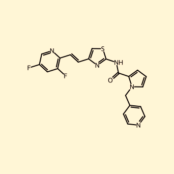 O=C(Nc1nc(/C=C/c2ncc(F)cc2F)cs1)c1cccn1Cc1ccncc1